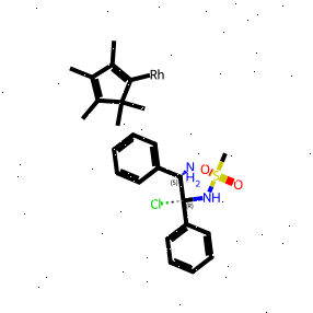 CC1=C(C)C(C)(C)[C]([Rh])=C1C.CS(=O)(=O)N[C@@](Cl)(c1ccccc1)[C@@H](N)c1ccccc1